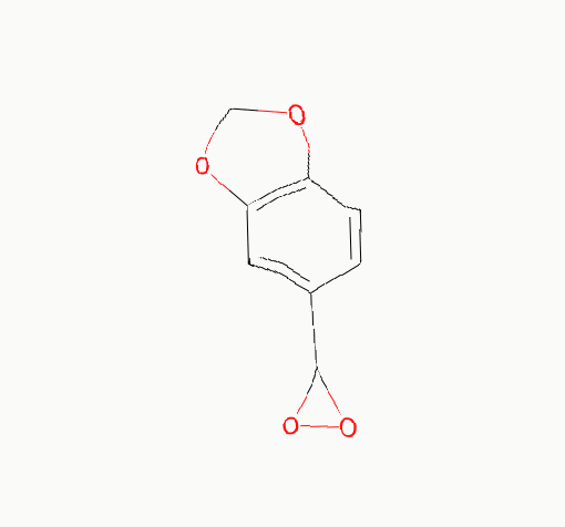 c1cc2c(cc1C1OO1)OCO2